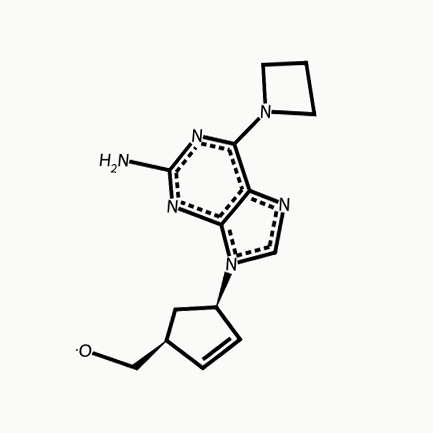 Nc1nc(N2CCC2)c2ncn([C@H]3C=C[C@@H](C[O])C3)c2n1